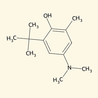 Cc1cc(N(C)C)cc(C(C)(C)C)c1O